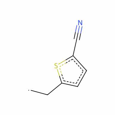 [CH2]Cc1ccc(C#N)s1